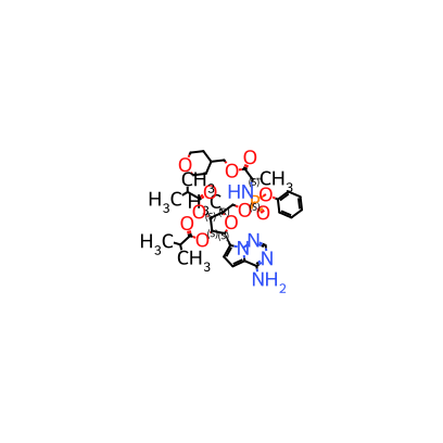 CC(C)C(=O)O[C@H]1[C@H](c2ccc3c(N)ncnn23)O[C@](C)(CO[P@@](=O)(N[C@@H](C)C(=O)OCC2CCOCC2)Oc2ccccc2)[C@H]1OC(=O)C(C)C